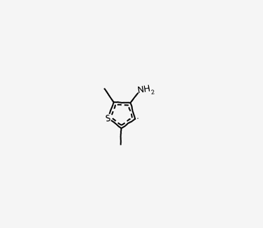 Cc1[c]c(N)c(C)s1